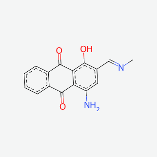 CN=Cc1cc(N)c2c(c1O)C(=O)c1ccccc1C2=O